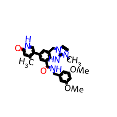 COc1cc(CNC(=O)c2cc(Cn3ccn(C)c3=N)cc(-c3c[nH]c(=O)cc3C)c2)cc(OC)c1